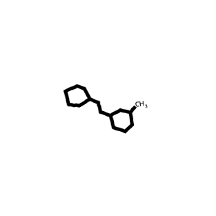 CC1CCCC(CCC2CCCCC2)C1